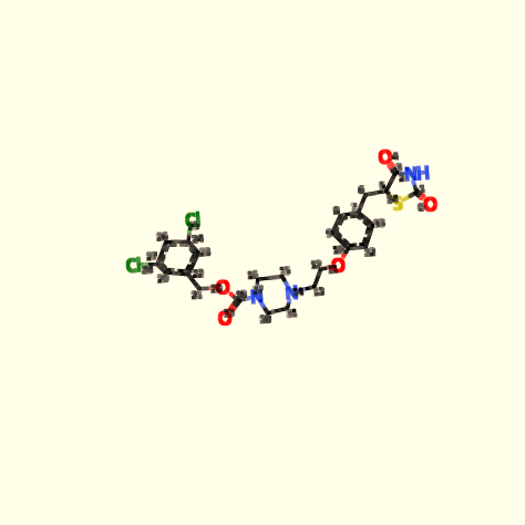 O=C1NC(=O)C(Cc2ccc(OCCN3CCN(C(=O)OCc4cc(Cl)cc(Cl)c4)CC3)cc2)S1